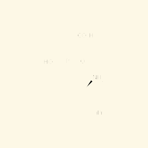 CC(C)C[C@H](N)CP(=O)(O)CC(=O)O